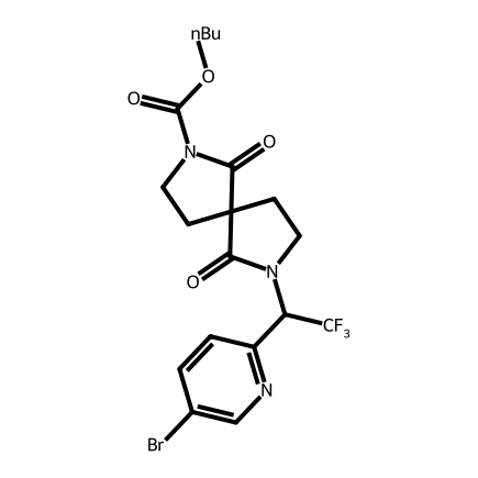 CCCCOC(=O)N1CCC2(CCN(C(c3ccc(Br)cn3)C(F)(F)F)C2=O)C1=O